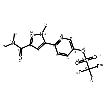 CN(C)C(=O)c1cc(-c2ccc(OS(=O)(=O)C(F)(F)F)cn2)n(C)n1